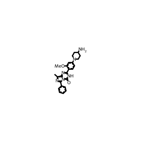 COc1cc(N2CCC(N)CC2)ccc1-c1nc2c(C)nc(-c3ccccc3)n2c(=O)[nH]1